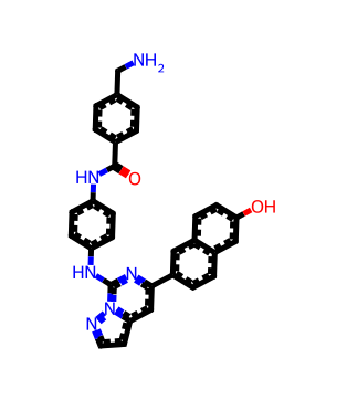 NCc1ccc(C(=O)Nc2ccc(Nc3nc(-c4ccc5cc(O)ccc5c4)cc4ccnn34)cc2)cc1